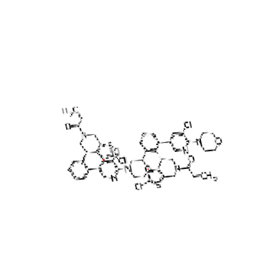 C=CC(=O)N1Cc2sc(Cl)cc2[C@@H](c2ccccc2-c2cnc(N3CCOC(c4cccc(-c5cnc(N6CCOCC6)c(Cl)c5)c4[C@@H]4CN(C(=O)C=C)Cc5sc(Cl)cc54)C3)c(Cl)c2)C1